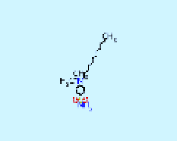 CCCCCCCCCCCCN(c1ccc(S(N)(=O)=O)cc1)C(C)C